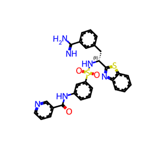 N=C(N)c1cccc(C[C@@H](NS(=O)(=O)c2cccc(NC(=O)c3cccnc3)c2)c2nc3ccccc3s2)c1